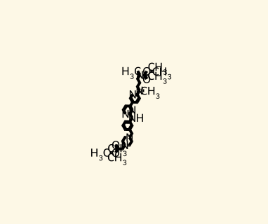 CN(CCCN(C)c1ccc(-c2ccnc(Nc3cccc(CN4CCN(CC(=O)OC(C)(C)C)CC4)c3)n2)cn1)C(=O)OC(C)(C)C